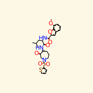 COc1cccc2cc(C(=O)NC(CC(C)C)C(=O)N[C@H]3CCCN(S(=O)(=O)c4cccs4)CC3=O)oc12